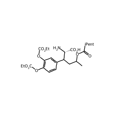 CCCC(C)C(=O)OC(C)CC(c1ccc(OC(=O)OCC)c(OC(=O)OCC)c1)[C@H](N)C(=O)O